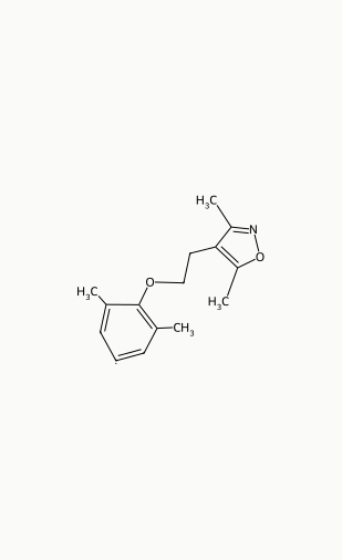 Cc1c[c]cc(C)c1OCCc1c(C)noc1C